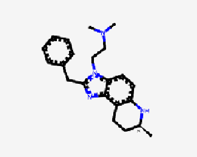 C[C@H]1CCc2c(ccc3c2nc(Cc2ccccc2)n3CCN(C)C)N1